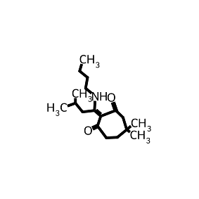 CCCCN/C(CC(C)C)=C1/C(=O)CCC(C)(C)CC1=O